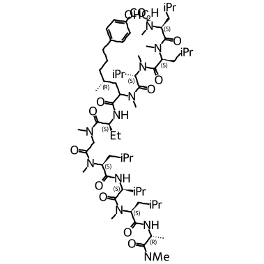 CC[C@H](NC(=O)C(C[C@H](C)CCCc1ccc(C(=O)O)cc1)N(C)C(=O)[C@H](C(C)C)N(C)C(=O)[C@H](CC(C)C)N(C)C(=O)[C@H](CC(C)C)N(C)C=O)C(=O)N(C)CC(=O)N(C)[C@@H](CC(C)C)C(=O)N[C@H](C(=O)N(C)[C@@H](CC(C)C)C(=O)N[C@H](C)C(=O)NC)C(C)C